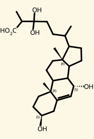 CC(CCC(O)(O)C(C)C(=O)O)C1CCC2C3C(CC[C@]12C)[C@@]1(C)CC[C@H](O)CC1=C[C@H]3O